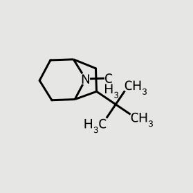 CN1C2CCCC1C(C(C)(C)C)C2